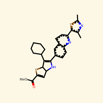 COC(=O)C1=CC2NC(c3ccc4nc(-c5sc(C)nc5C)ccc4c3)=C(C3CCCCC3)C2S1